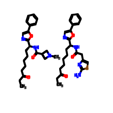 CCC(=O)CCCCCC(NC(=O)Cc1csc(N)n1)c1ncc(-c2ccccc2)o1.CCC(=O)CCCCC[C@H](NC(=O)C1CN(C)C1)c1ncc(-c2ccccc2)o1